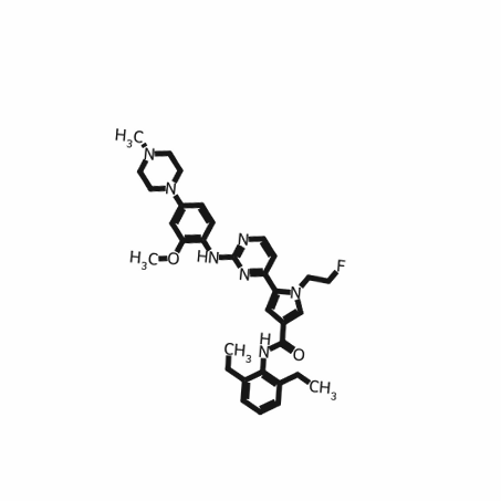 CCc1cccc(CC)c1NC(=O)c1cc(-c2ccnc(Nc3ccc(N4CCN(C)CC4)cc3OC)n2)n(CCF)c1